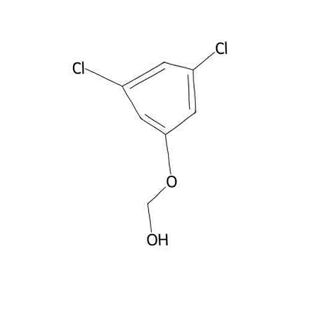 OCOc1cc(Cl)cc(Cl)c1